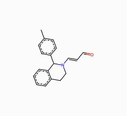 Cc1ccc(C2c3ccccc3CCN2C=CC=O)cc1